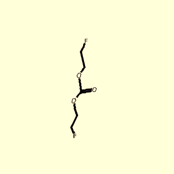 O=C(OCCF)OCCF